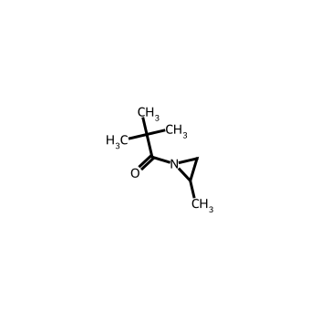 CC1CN1C(=O)C(C)(C)C